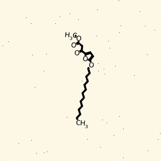 CCCCCCCCCCCCCCOc1ccc(C(=O)CC(=O)OC)o1